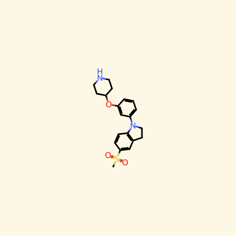 CS(=O)(=O)c1ccc2c(c1)CCN2c1cccc(OC2CCNCC2)c1